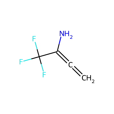 C=C=C(N)C(F)(F)F